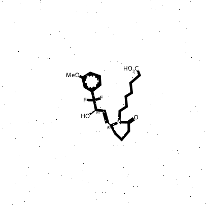 COc1cccc(C(F)(F)[C@H](O)C=C[C@H]2CCCC(=O)N2CCCCCCC(=O)O)c1